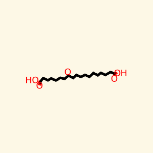 O=C(O)CCCCCCCCCCC(=O)CCCCCCC(=O)O